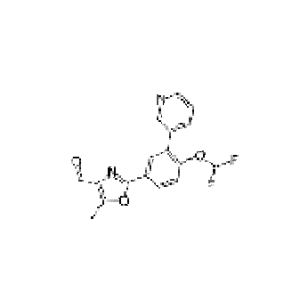 Cc1oc(-c2ccc(OC(F)F)c(-c3cccnc3)c2)nc1C=O